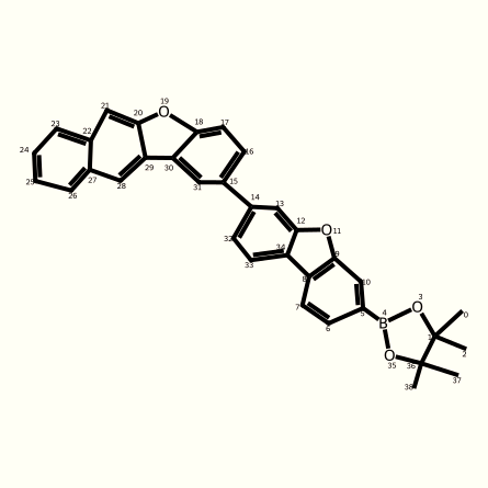 CC1(C)OB(c2ccc3c(c2)oc2cc(-c4ccc5oc6cc7ccccc7cc6c5c4)ccc23)OC1(C)C